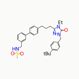 CCn1c(CCCc2ccc(-c3cccc(CNS(C)(=O)=O)c3)cc2)nn(Cc2ccc(C(C)(C)C)cc2)c1=O